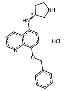 Cl.c1ccc(COc2ccc(N[C@H]3CCNC3)c3cccnc23)cc1